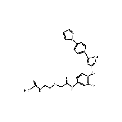 CC(=O)NCCNCC(=O)Nc1ccc(Nc2cc(-c3ccc(-n4cccn4)cc3)[nH]n2)c(C)c1